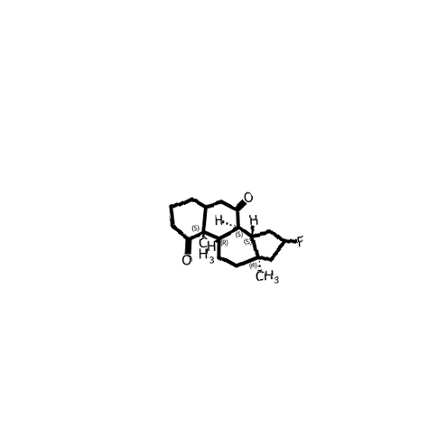 C[C@]12CC[C@@H]3[C@@H](C(=O)CC4CCCC(=O)[C@@]43C)[C@@H]1CC(F)C2